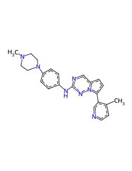 Cc1ccncc1-c1ccc2cnc(Nc3ccc(N4CCN(C)CC4)cc3)nn12